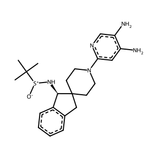 CC(C)(C)[S+]([O-])N[C@@H]1c2ccccc2CC12CCN(c1cc(N)c(N)cn1)CC2